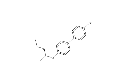 CCOC(C)Oc1ccc(-c2ccc(Br)cc2)cc1